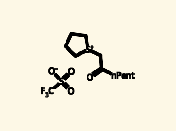 CCCCCC(=O)C[S+]1CCCC1.O=S(=O)([O-])C(F)(F)F